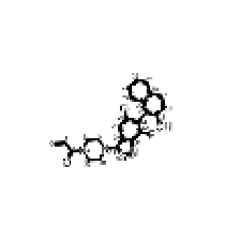 C=CC(=O)N1CCN(c2snc3c(F)c(-c4c(O)ccc5ccccc45)c(Cl)cc23)CC1